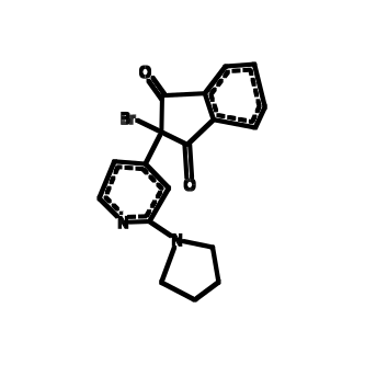 O=C1c2ccccc2C(=O)C1(Br)c1ccnc(N2CCCC2)c1